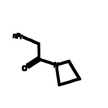 [CH2]CCCC(=O)N1CCC1